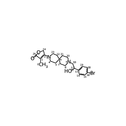 CC1=C(N2CCC3(CCN(CC(O)c4ccc(Br)cc4)CC3)CC2)COC1=O